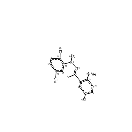 CCN(/N=C(\C)c1cc(Cl)ccc1NC)c1cc(Cl)ccc1Cl